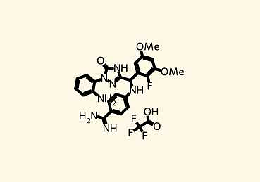 COc1cc(OC)c(F)c(C(Nc2ccc(C(=N)N)cc2)c2nn(-c3ccccc3N)c(=O)[nH]2)c1.O=C(O)C(F)(F)F